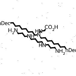 CCCCCCCCCCCCCCCCCCN(CCCCCCCCCCCCCCCCCC)NCC(=O)O.NCCCNCCCCNCCCN